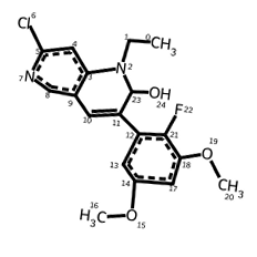 CCN1c2cc(Cl)ncc2C=C(c2cc(OC)cc(OC)c2F)C1O